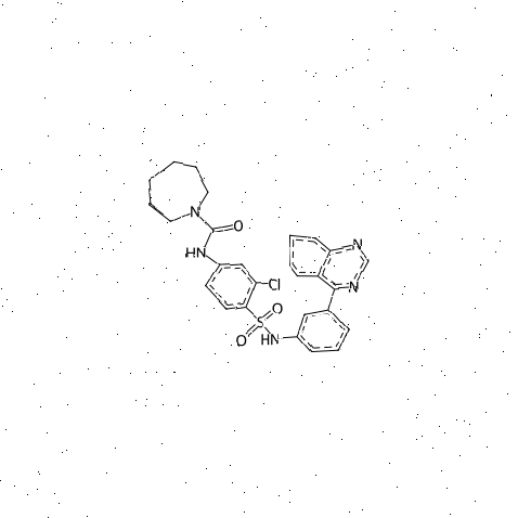 O=C(Nc1ccc(S(=O)(=O)Nc2cccc(-c3ncnc4ccccc34)c2)c(Cl)c1)N1CCCCCC1